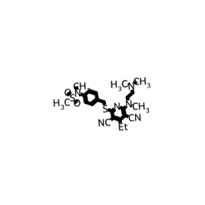 CCc1c(C#N)c(SCc2ccc(N(C)S(C)(=O)=O)cc2)nc(N(C)CCN(C)C)c1C#N